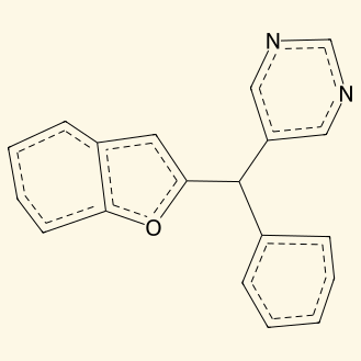 c1ccc(C(c2cncnc2)c2cc3ccccc3o2)cc1